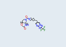 O=C1CO[C@H]2CCN(C(=O)N3CC4(CC(Cc5cnc6nc(C(F)(F)F)nn6c5)C4)C3)C[C@H]2N1